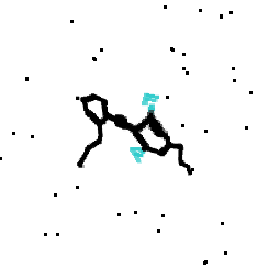 CCCCc1cc(F)c(C#Cc2cc[c]cc2CCC)c(F)c1